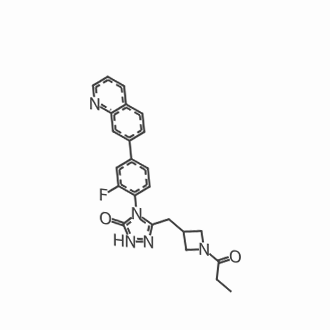 CCC(=O)N1CC(Cc2n[nH]c(=O)n2-c2ccc(-c3ccc4cccnc4c3)cc2F)C1